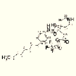 CCCCCCCCc1ccc(NC(=O)NC2(CCC(=O)OC(=O)C(F)(F)F)CCNCC2)cc1